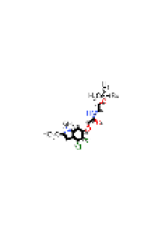 Cn1c(C(=O)O)cc2c(Cl)c(Cl)c(OCC(=O)NCCO[Si](C)(C)C(C)(C)C)cc21